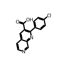 O=C(O)c1cc2ccncc2nc1-c1ccc(Cl)cc1